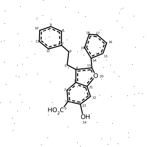 O=C(O)c1cc2c(CCc3ccccc3)c(-c3ccccc3)oc2cc1O